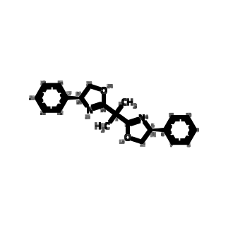 CC(C)(C1=N[C@@H](c2ccccc2)CO1)C1=N[C@@H](c2ccccc2)CO1